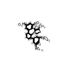 CC1=C(C)N(c2c(-c3cc([N+](=O)[O-])cc([N+](=O)[O-])c3)cccc2-c2cc([N+](=O)[O-])cc([N+](=O)[O-])c2)CS1